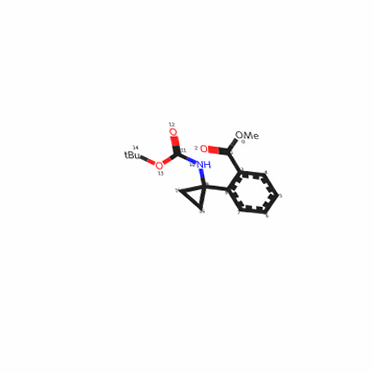 COC(=O)c1ccccc1C1(NC(=O)OC(C)(C)C)CC1